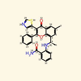 Cc1cc([C@@H](C)Nc2ccccc2C(N)=O)c2oc(-c3ccccc3)c(-c3cncs3)c(=O)c2c1